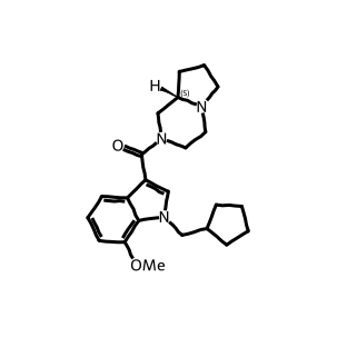 COc1cccc2c(C(=O)N3CCN4CCC[C@H]4C3)cn(CC3CCCC3)c12